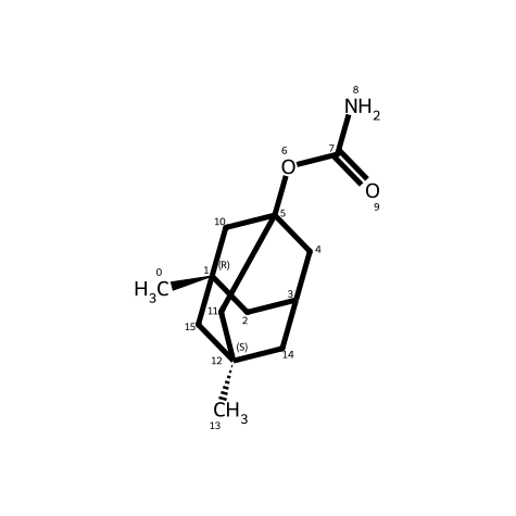 C[C@]12CC3CC(OC(N)=O)(C1)C[C@@](C)(C3)C2